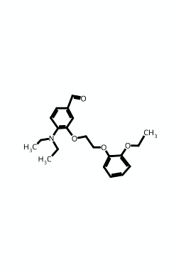 CCOc1ccccc1OCCOc1cc(C=O)ccc1N(CC)CC